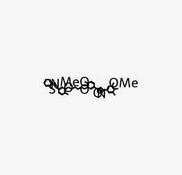 COc1ccc(-c2cc(-c3cc(C)c(C)c(OC)c3)no2)cc1OCCCCOc1cc(-c2nc3ccccc3s2)ccc1C